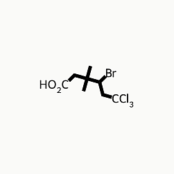 CC(C)(CC(=O)O)C(Br)CC(Cl)(Cl)Cl